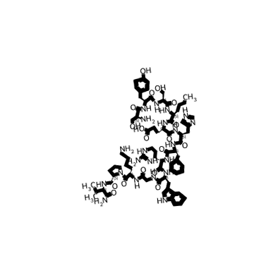 CCCC[C@H](NC(=O)[C@H](CO)NC(=O)[C@H](Cc1ccc(O)cc1)NC(=O)[C@@H](N)CO)C(=O)N[C@@H](CCC(=O)O)C(=O)N[C@@H](Cc1c[nH]cn1)C(=O)N[C@H](Cc1ccccc1)C(=O)N[C@@H](CCCNC(=N)N)C(=O)N[C@@H](Cc1c[nH]c2ccccc12)C(=O)NCC(=O)N[C@@H](CCCCN)C(=O)N1CCC[C@H]1C(=O)N[C@H](C(N)=O)C(C)C